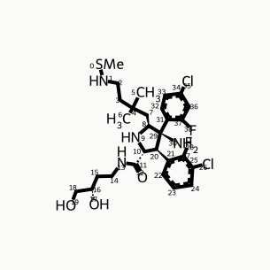 CSNCCC(C)(C)C[C@@H]1N[C@@H](C(=O)NCC[C@H](O)CO)[C@H](c2cccc(Cl)c2F)[C@@]1(N)c1ccc(Cl)cc1F